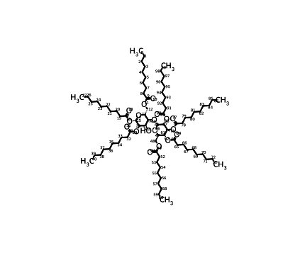 CCCCCCCCCC(=O)OC[C@H]1O[C@@H](OC(=O)CCCCCCCCC)[C@H](OC(=O)CCCCCCCCC)[C@@H](O)[C@@H]1O[C@@H]1O[C@H](COC(=O)CCCCCCCCC)[C@@H](OC(=O)CCCCCCCCC)[C@H](OC(=O)CCCCCCCCC)[C@H]1OC(=O)CCCCCCCCC